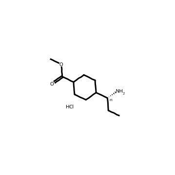 CC[C@@H](N)C1CCC(C(=O)OC)CC1.Cl